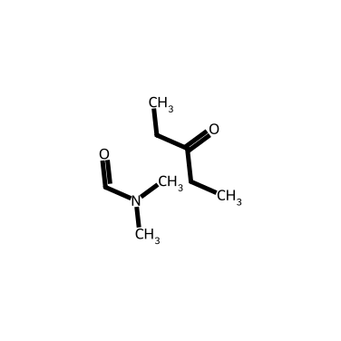 CCC(=O)CC.CN(C)C=O